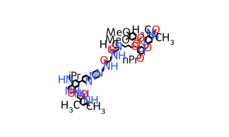 CCCOc1cc(OCCCCN(C)CC(=O)NCCC(=O)NCCN2CCN(c3ccc(-c4cc(NC(C)C)c(C=N)c(C(=O)NCc5c(C)cc(C)[nH]c5=O)c4)cn3)CC2)cc(Oc2cc3c(cc2NS(=O)(=O)c2ccc(OC)c(OC)c2)n(C)c(=O)n3C)c1